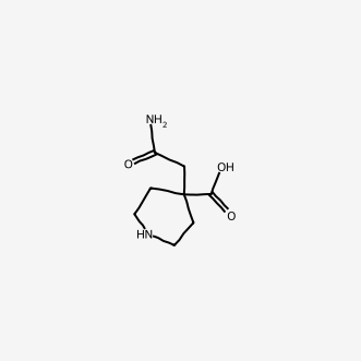 NC(=O)CC1(C(=O)O)CCNCC1